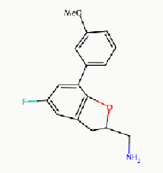 COc1cccc(-c2cc(F)cc3c2OC(CN)C3)c1